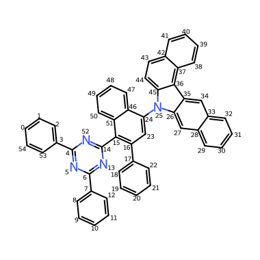 c1ccc(-c2nc(-c3ccccc3)nc(-c3c(-c4ccccc4)cc(-n4c5cc6ccccc6cc5c5c6ccccc6ccc54)c4ccccc34)n2)cc1